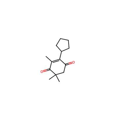 CC1=C(C2CCCC2)C(=O)CC(C)(C)C1=O